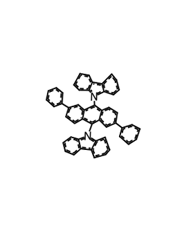 c1ccc(-c2ccc3c(-n4c5ccccc5c5ccccc54)c4cc(-c5ccccc5)ccc4c(-n4c5ccccc5c5ccccc54)c3c2)cc1